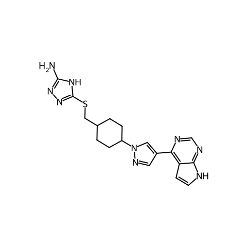 Nc1nnc(SCC2CCC(n3cc(-c4ncnc5[nH]ccc45)cn3)CC2)[nH]1